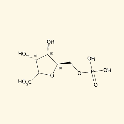 O=C(O)C1O[C@H](COP(=O)(O)O)[C@@H](O)[C@H]1O